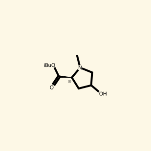 CC(C)COC(=O)[C@@H]1CC(O)CN1C